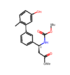 COC(=O)C[C@H](NC(=O)OC(C)(C)C)c1cccc(-c2cc(O)ccc2C)c1